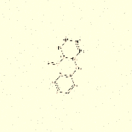 C=Cp1[nH][pH]npn1Oc1ccccc1